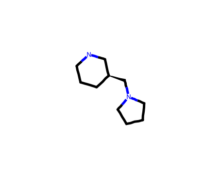 C1C[N]C[C@@H](CN2CCCC2)C1